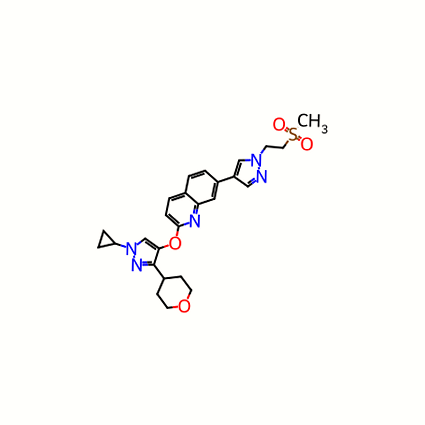 CS(=O)(=O)CCn1cc(-c2ccc3ccc(Oc4cn(C5CC5)nc4C4CCOCC4)nc3c2)cn1